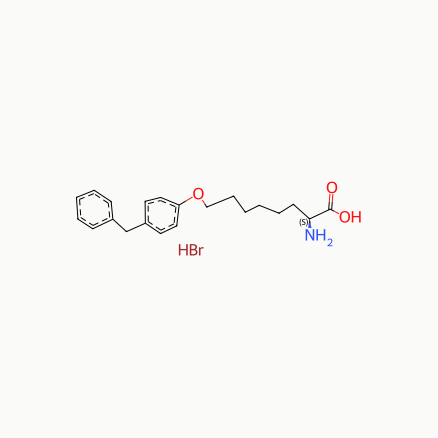 Br.N[C@@H](CCCCCCOc1ccc(Cc2ccccc2)cc1)C(=O)O